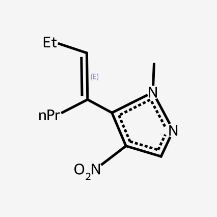 CC/C=C(\CCC)c1c([N+](=O)[O-])cnn1C